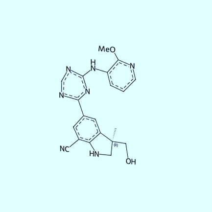 COc1ncccc1Nc1ncnc(-c2cc(C#N)c3c(c2)[C@@](C)(CO)CN3)n1